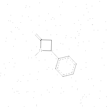 O=C1CC(c2ccccc2)N1O